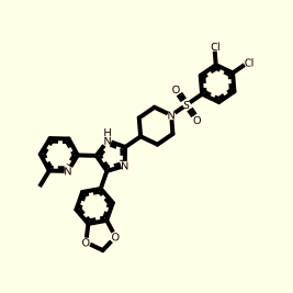 Cc1cccc(-c2[nH]c(C3CCN(S(=O)(=O)c4ccc(Cl)c(Cl)c4)CC3)nc2-c2ccc3c(c2)OCO3)n1